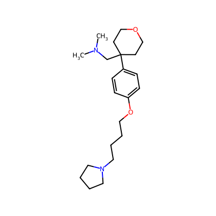 CN(C)CC1(c2ccc(OCCCCN3CCCC3)cc2)CCOCC1